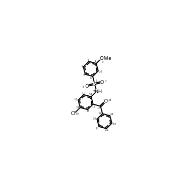 COc1cccc(S(=O)(=O)Nc2ccc(Cl)cc2C(=O)c2ccccc2)c1